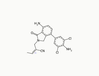 C/C=C(/C#N)CN1Cc2c(-c3cc(Cl)c(N)c(Cl)c3)ccc(N)c2C1=O